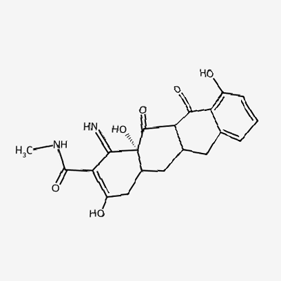 CNC(=O)C1=C(O)CC2CC3Cc4cccc(O)c4C(=O)C3C(=O)[C@]2(O)C1=N